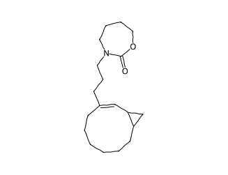 O=C1OCCCCN1CCC/C1=C/C2CC2CCCCCC1